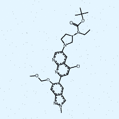 CCN(C(=O)OC(C)(C)C)[C@@H]1CCN(c2cnc3nc(-c4cc5cn(C)nc5cc4OCOC)cc(Cl)c3c2)C1